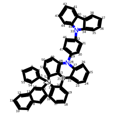 c1ccc([Si]2(c3ccc4ccccc4c3)c3ccccc3B3c4ccccc4N(c4ccc(-n5c6ccccc6c6ccccc65)cc4)c4cccc2c43)cc1